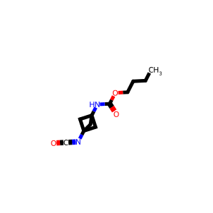 CCCCOC(=O)NC12CC(N=C=O)(C1)C2